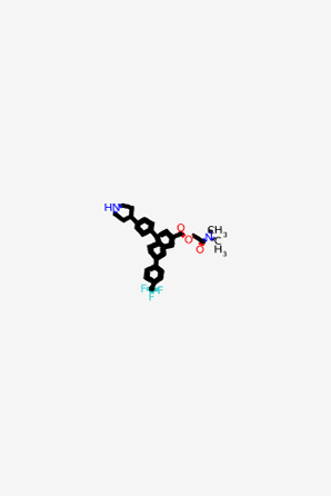 CN(C)C(=O)COC(=O)c1cc(-c2ccc(C3CCNCC3)cc2)c2ccc(-c3ccc(C(F)(F)F)cc3)cc2c1